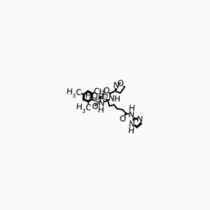 Cc1cc(C)c(S(=O)(=O)NC(CCCCC(=O)Nc2ncc[nH]2)(NC(=O)C2=NOCC2)C(=O)O)c(C)c1